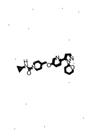 O=C(NC1CC1)N1CCC(COc2ccc(-c3ccnn3C3CCCCO3)nc2)CC1